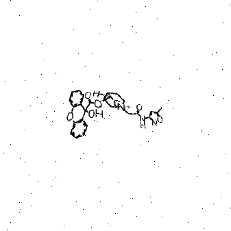 Cc1cc(NC(=O)C[N+]23CCC(CC2)[C@@H](OC(=O)C2(O)c4ccccc4Oc4ccccc42)C3)no1